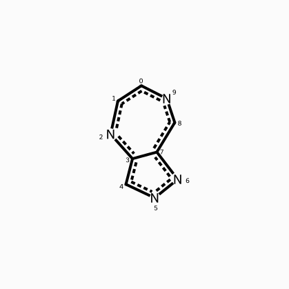 c1cnc2cnnc-2cn1